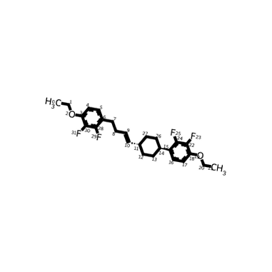 CCOc1ccc(CC/C=C/[C@H]2CC[C@H](c3ccc(OCC)c(F)c3F)CC2)c(F)c1F